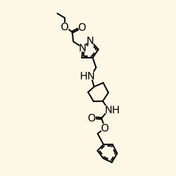 CCOC(=O)Cn1cc(CNC2CCC(NC(=O)OCc3ccccc3)CC2)cn1